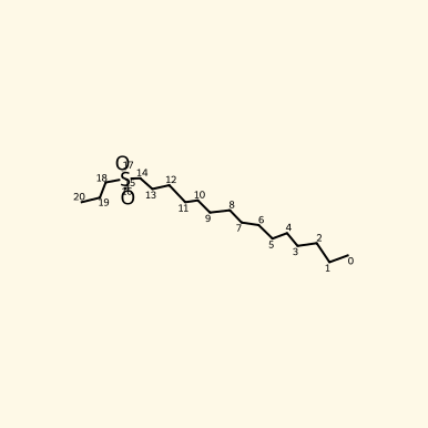 CCCCCCCCCCCCCCCS(=O)(=O)CCC